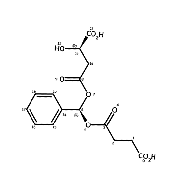 O=C(O)CCC(=O)O[C@H](OC(=O)C[C@@H](O)C(=O)O)c1ccccc1